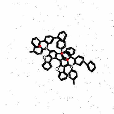 Cc1ccc(N(c2cc(-c3ccccc3)ccc2-c2ccccc2)c2cc3c(c4c2oc2ccccc24)-c2c(cc(N(c4ccc(C)cc4)c4cc(-c5ccccc5)ccc4-c4ccccc4)c4c2oc2ccccc24)C3(c2ccccc2)c2ccccc2)cc1